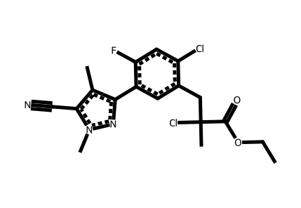 CCOC(=O)C(C)(Cl)Cc1cc(-c2nn(C)c(C#N)c2C)c(F)cc1Cl